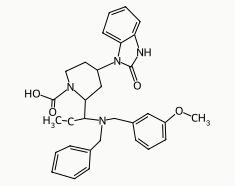 CCC(C1CC(n2c(=O)[nH]c3ccccc32)CCN1C(=O)O)N(Cc1ccccc1)Cc1cccc(OC)c1